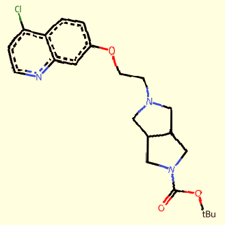 CC(C)(C)OC(=O)N1CC2CN(CCOc3ccc4c(Cl)ccnc4c3)CC2C1